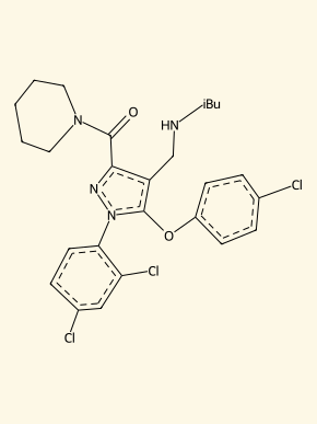 CCC(C)NCc1c(C(=O)N2CCCCC2)nn(-c2ccc(Cl)cc2Cl)c1Oc1ccc(Cl)cc1